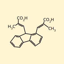 CC(=Cc1cccc2c1C(C=C(C)C(=O)O)c1ccccc1-2)C(=O)O